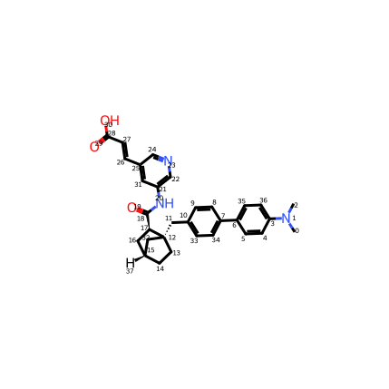 CN(C)c1ccc(-c2ccc(C[C@@]34CC[C@H](C[C@H]3C(=O)Nc3cncc(/C=C/C(=O)O)c3)C4)cc2)cc1